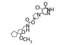 COC(=O)C1(CCCNC(=O)O[C@@H]2CCN(c3cn[nH]c(=O)c3Cl)C2)CCCC1